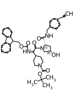 C#Cc1ccc(CNC(=O)[C@@H]2C[C@@H](O)CN2C(=O)[C@@H](NC(=O)OCC2c3ccccc3-c3ccccc32)C2CCN(C(=O)OC(C)(C)C)CC2)cc1